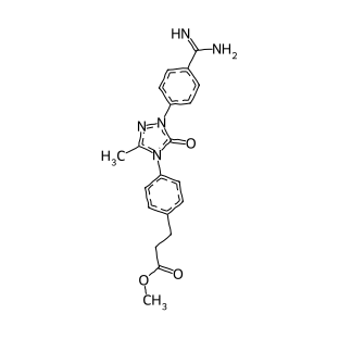 COC(=O)CCc1ccc(-n2c(C)nn(-c3ccc(C(=N)N)cc3)c2=O)cc1